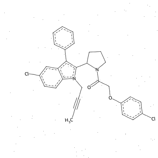 CC#CCn1c(C2CCCN2C(=O)COc2ccc(Cl)cc2)c(-c2ccccc2)c2cc(Cl)ccc21